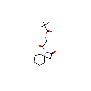 CCC(C)(C)C(=O)OCC(=O)N1C(=O)CC12CCCCC2